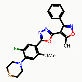 COc1cc(N2CCSCC2)c(F)cc1-c1nnc(-c2c(-c3ccccc3)noc2C)o1